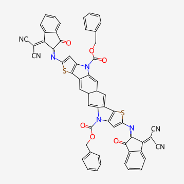 N#CC(C#N)=C1/C(=N/c2cc3c(s2)c2c(n3C(=O)OCc3ccccc3)=CC3C=c4c(n(C(=O)OCc5ccccc5)c5cc(/N=C6\C(=O)c7ccccc7C6=C(C#N)C#N)sc45)=CC3C=2)C(=O)c2ccccc21